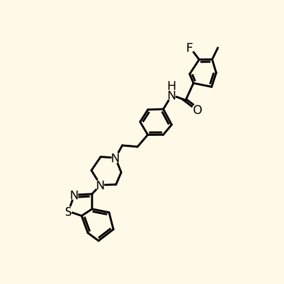 Cc1ccc(C(=O)Nc2ccc(CCN3CCN(c4nsc5ccccc45)CC3)cc2)cc1F